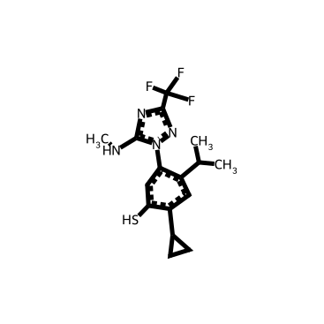 CNc1nc(C(F)(F)F)nn1-c1cc(S)c(C2CC2)cc1C(C)C